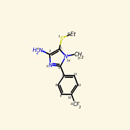 CCSc1c(N)nc(-c2ccc(C(F)(F)F)cc2)n1C